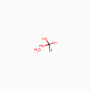 C[CH]C(O)(O)O.O